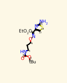 CCOC(=O)C(=NOCCCNC(=O)OC(C)(C)C)c1csc(N)n1